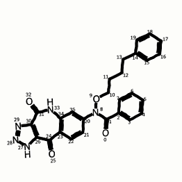 O=C(c1ccccc1)N(OCCCCc1ccccc1)c1ccc2c(=O)c3[nH]nnc3c(=O)[nH]c2c1